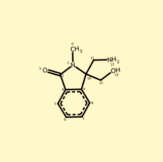 CN1C(=O)c2ccccc2C1(CN)CO